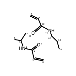 C=CC(=O)NC(C)C.C=CC(=O)NCCC